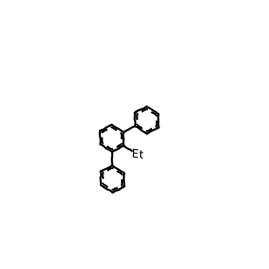 CCc1c(-c2ccccc2)cccc1-c1ccccc1